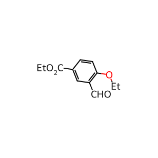 CCOC(=O)c1ccc(OCC)c(C=O)c1